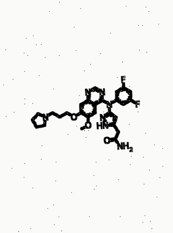 COc1cc2c(N(c3cc(F)cc(F)c3)c3cc(CC(N)=O)[nH]n3)ncnc2cc1OCCCN1CCCC1